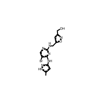 Cc1cc(Nc2nc(NCc3cc(CO)no3)ncc2Br)n[nH]1